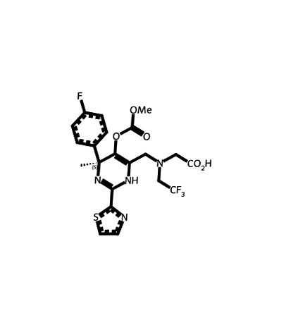 COC(=O)OC1=C(CN(CC(=O)O)CC(F)(F)F)NC(c2nccs2)=N[C@@]1(C)c1ccc(F)cc1